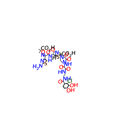 CC(C)(O/N=C(\C(=O)NC1C(=O)N2C[C@@](C(=O)O)(N3CCN(NC(=O)C(=O)NCCNC(=O)c4ccc(O)c(O)c4Cl)C(=O)C3=O)S[C@H]12)c1csc(N)n1)C(=O)O